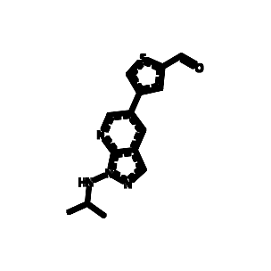 CC(C)Nn1ncc2cc(-c3csc(C=O)c3)cnc21